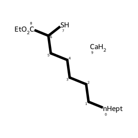 CCCCCCCCCCCCC(S)C(=O)OCC.[CaH2]